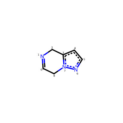 [C]1=NCc2ccnn2C1